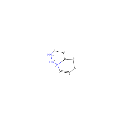 C1=CN2NNCCC2CC1